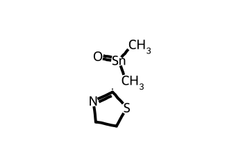 [CH3][Sn]([CH3])=[O].[C]1=NCCS1